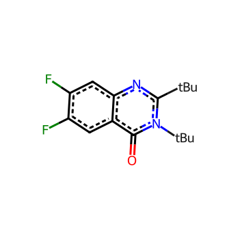 CC(C)(C)c1nc2cc(F)c(F)cc2c(=O)n1C(C)(C)C